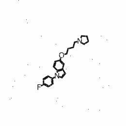 Fc1ccc(-n2ccc3cc(OCCCCN4CCCC4)ccc32)cc1